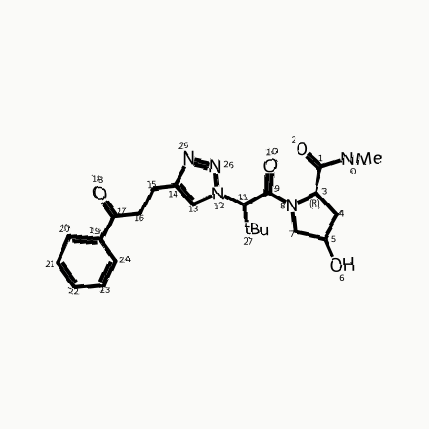 CNC(=O)[C@H]1CC(O)CN1C(=O)C(n1cc(CCC(=O)c2ccccc2)nn1)C(C)(C)C